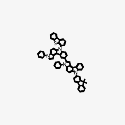 CC1(C)c2ccccc2-c2ccc(-n3c4ccccc4c4c5cc(-c6ccc7c(c6)c6c8ccn(-c9ccccc9)c8ccc6n7-c6cccc7c6sc6ccccc67)n(-c6ccccc6)c5ccc43)cc21